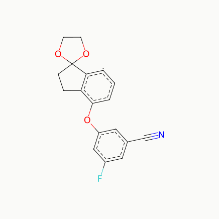 N#Cc1cc(F)cc(Oc2cc[c]c3c2CCC32OCCO2)c1